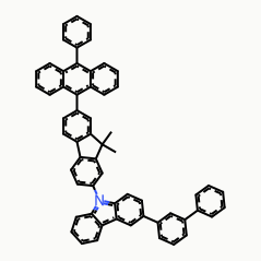 CC1(C)c2cc(-c3c4ccccc4c(-c4ccccc4)c4ccccc34)ccc2-c2ccc(-n3c4ccccc4c4cc(-c5cccc(-c6ccccc6)c5)ccc43)cc21